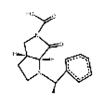 C[C@H](c1ccccc1)N1CC[C@@H]2CN(C(=O)O)C(=O)[C@@H]21